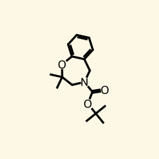 CC(C)(C)OC(=O)N1Cc2ccccc2OC(C)(C)C1